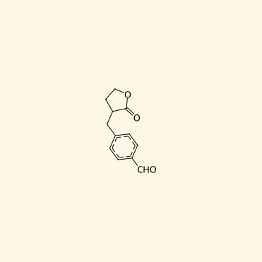 O=Cc1ccc(CC2CCOC2=O)cc1